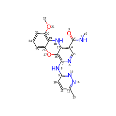 CNC(=O)c1cnc(Nc2ccc(C)nn2)c2c1Nc1c(OC)cccc1O2